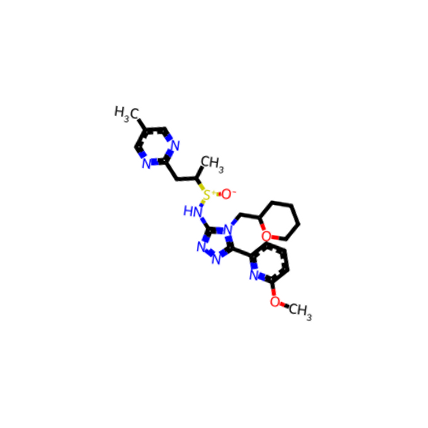 COc1cccc(-c2nnc(N[S+]([O-])C(C)Cc3ncc(C)cn3)n2CC2CCCCO2)n1